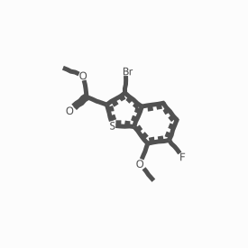 COC(=O)c1sc2c(OC)c(F)ccc2c1Br